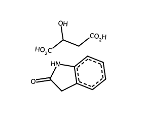 O=C(O)CC(O)C(=O)O.O=C1Cc2ccccc2N1